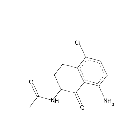 CC(=O)NC1CCc2c(Cl)ccc(N)c2C1=O